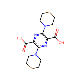 O=C(O)c1nc(N2CCSCC2)c(C(=O)O)nc1N1CCSCC1